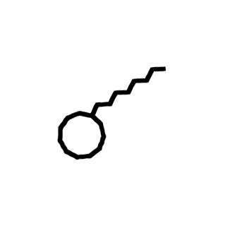 CCCCCCCCC1CCCCCCCCCC1